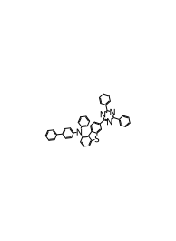 c1ccc(-c2ccc(N(c3ccccc3)c3cccc4sc5cc(-c6nc(-c7ccccc7)nc(-c7ccccc7)n6)ccc5c34)cc2)cc1